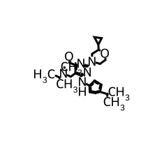 CC(C)c1ccc(Nc2nc(N3CCOC(C4CC4)C3)nc(C=O)c2CN(C)C(C)C)cc1